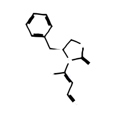 N=C/C=C(\N)N1C(=O)OC[C@@H]1Cc1ccccc1